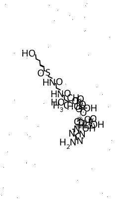 CC(C)(COP(=O)(O)OP(=O)(O)OC[C@H]1O[C@@H](n2cnc3c(N)ncnc32)[C@H](O)[C@@H]1OP(=O)(O)O)C(O)C(=O)NCCC(=O)NCCSC(=O)C=CCCCO